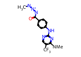 CN=[N+]=NC(=O)c1ccc(Nc2ncc(C(F)(F)F)c(NC)n2)cc1